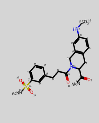 CNC(=O)C1Cc2ccc(NS(=O)(=O)O)cc2CN1C(=O)CCc1cccc(S(=O)(=O)NC(C)=O)c1